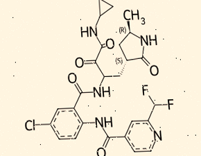 C[C@@H]1C[C@@H](CC(NC(=O)c2cc(Cl)ccc2NC(=O)c2ccnc(C(F)F)c2)C(=O)C(=O)NC2CC2)C(=O)N1